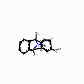 CCC12c3ccccc3C(CC)(c3cc(OC)ccc31)N2C